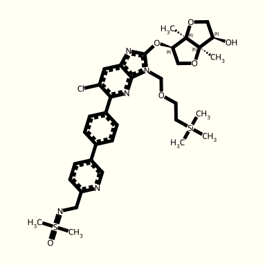 C[C@]12OC[C@@H](Oc3nc4cc(Cl)c(-c5ccc(-c6ccc(CN=S(C)(C)=O)nc6)cc5)nc4n3COCC[Si](C)(C)C)[C@@]1(C)OC[C@H]2O